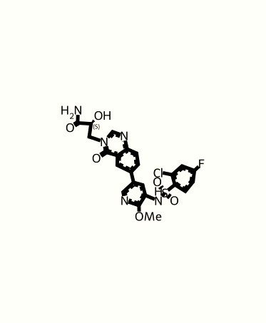 COc1ncc(-c2ccc3ncn(C[C@H](O)C(N)=O)c(=O)c3c2)cc1NS(=O)(=O)c1ccc(F)cc1Cl